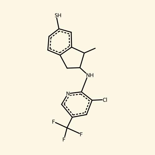 CC1c2cc(S)ccc2CC1Nc1ncc(C(F)(F)F)cc1Cl